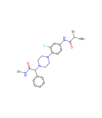 CCCCC(CC)C(=O)Nc1ccc(N2CCN(C(C(=O)NCC)c3ccccc3)CC2)c(F)c1